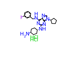 Cl.Cl.N[C@H]1CC[C@H](Nc2nc(NCc3cccc(I)c3)c3ncn(C4CCCC4)c3n2)CC1